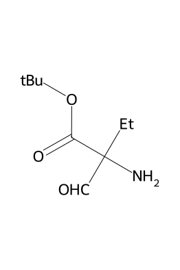 CCC(N)(C=O)C(=O)OC(C)(C)C